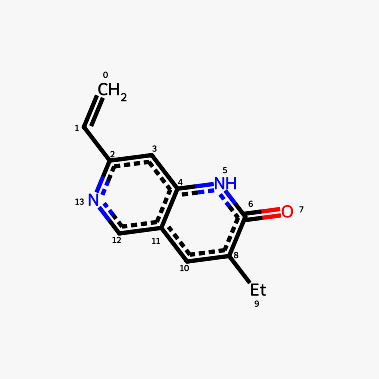 C=Cc1cc2[nH]c(=O)c(CC)cc2cn1